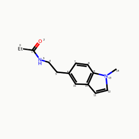 CCC(=O)NCCc1ccc2c(ccn2C)c1